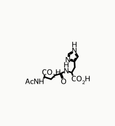 CC(=O)NC(CCC(=O)NC(Cc1c[nH]cn1)C(=O)O)C(=O)O